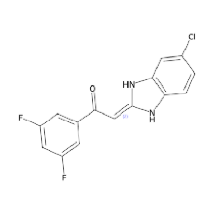 O=C(/C=C1/Nc2ccc(Cl)cc2N1)c1cc(F)cc(F)c1